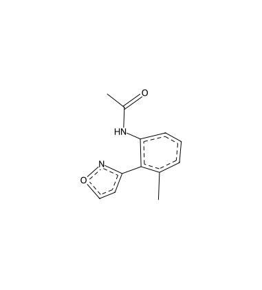 CC(=O)Nc1cccc(C)c1-c1ccon1